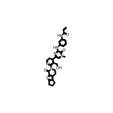 C=CC(=O)Nc1cccc(Nc2nc(-c3ccnc(N4CCc5c(sc6c5CCC6)C4=O)c3CO)cn(C)c2=O)c1